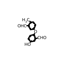 Cc1ccc(Oc2ccc(O)cc2C=O)cc1C=O